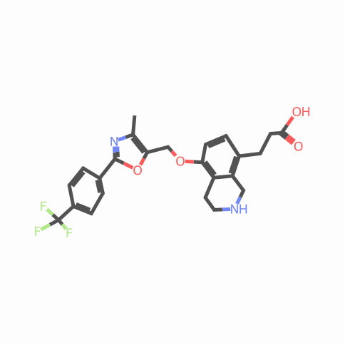 Cc1nc(-c2ccc(C(F)(F)F)cc2)oc1COc1ccc(CCC(=O)O)c2c1CCNC2